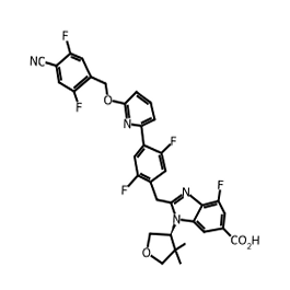 CC1(C)COC[C@H]1n1c(Cc2cc(F)c(-c3cccc(OCc4cc(F)c(C#N)cc4F)n3)cc2F)nc2c(F)cc(C(=O)O)cc21